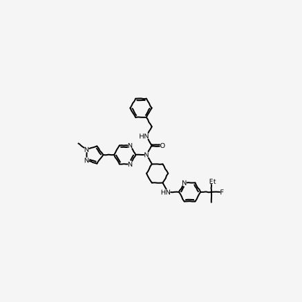 CCC(C)(F)c1ccc(NC2CCC(N(C(=O)NCc3ccccc3)c3ncc(-c4cnn(C)c4)cn3)CC2)nc1